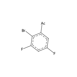 CC(=O)c1cc(F)cc(F)c1Br